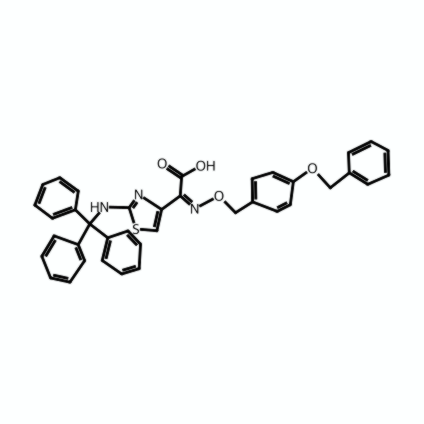 O=C(O)C(=NOCc1ccc(OCc2ccccc2)cc1)c1csc(NC(c2ccccc2)(c2ccccc2)c2ccccc2)n1